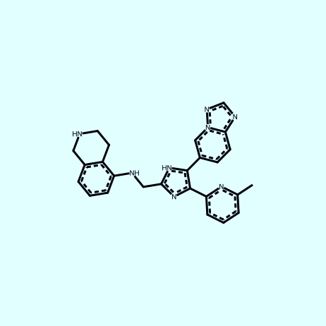 Cc1cccc(-c2nc(CNc3cccc4c3CCNC4)[nH]c2-c2ccc3ncnn3c2)n1